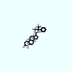 C[C@]12CCC(=O)NC1=CC[C@@H]1[C@H]2CC[C@]2(C)C(C(=O)NC(c3ccccc3)(C(F)(F)F)C(F)(F)F)CC[C@@H]12